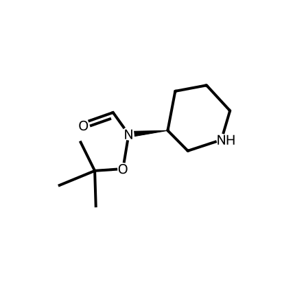 CC(C)(C)ON(C=O)[C@H]1CCCNC1